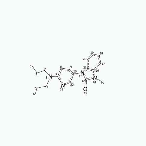 CCCN(CCC)c1ccc(-n2c(=O)n(C)c3ccccc32)cn1